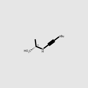 CCCCC#CN[C@@H](C)C(=O)O